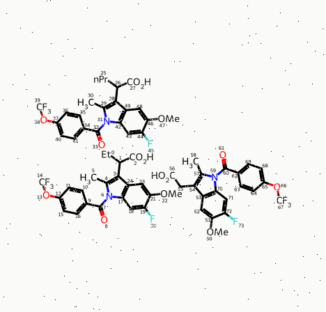 CCC(C(=O)O)c1c(C)n(C(=O)c2ccc(OC(F)(F)F)cc2)c2cc(F)c(OC)cc12.CCCC(C(=O)O)c1c(C)n(C(=O)c2ccc(OC(F)(F)F)cc2)c2cc(F)c(OC)cc12.COc1cc2c(CC(=O)O)c(C)n(C(=O)c3ccc(OC(F)(F)F)cc3)c2cc1F